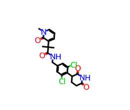 Cn1cccc(C(C)(C)C(=O)NCc2cc(Cl)c(C3CCC(=O)NC3=O)c(Cl)c2)c1=O